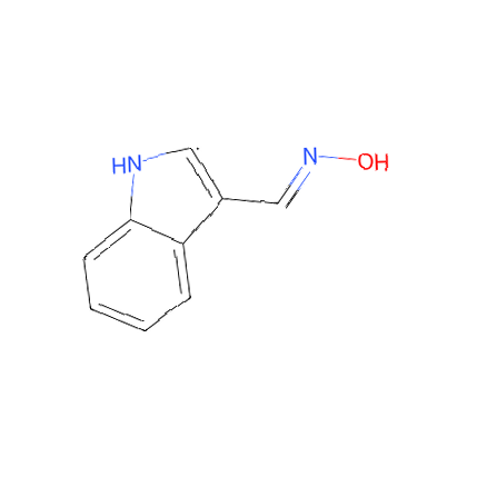 ON=Cc1[c][nH]c2ccccc12